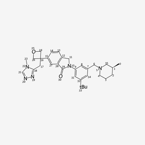 C[C@H]1CCCN(Cc2cc(N3Cc4ccc(C5(Cc6nncn6C)COC5)cc4C3=O)cc(C(C)(C)C)c2)C1